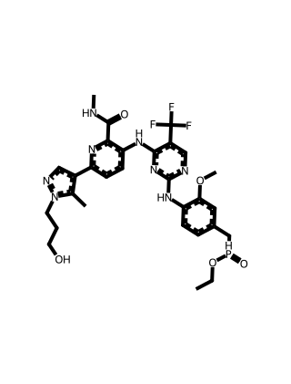 CCO[PH](=O)Cc1ccc(Nc2ncc(C(F)(F)F)c(Nc3ccc(-c4cnn(CCCO)c4C)nc3C(=O)NC)n2)c(OC)c1